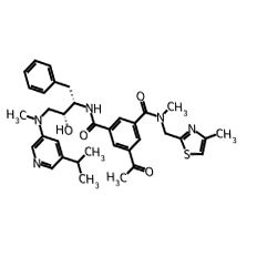 CC(=O)c1cc(C(=O)N[C@@H](Cc2ccccc2)[C@H](O)CN(C)c2cncc(C(C)C)c2)cc(C(=O)N(C)Cc2nc(C)cs2)c1